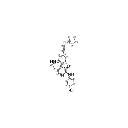 [O-][n+]1c(Nc2ccc(Cl)cc2)ncc2c1-c1ccc(C#CCN3CCCC3)cc1NCC2